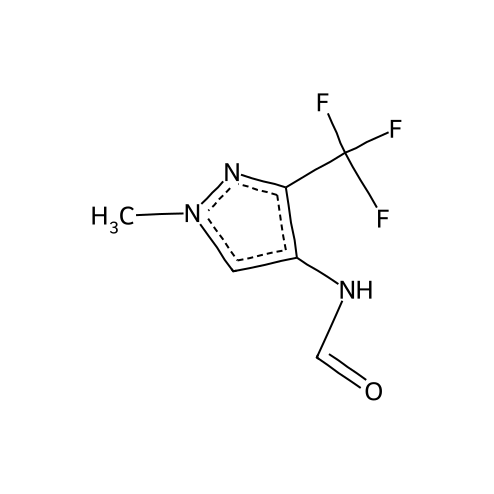 Cn1cc(NC=O)c(C(F)(F)F)n1